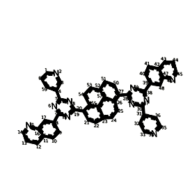 c1cncc(-c2nc(-c3ccc4cccnc4c3)nc(-c3ccc4ccc5c(-c6nc(-c7ccncc7)nc(-c7ccc8cccnc8c7)n6)ccc6ccc3c4c65)n2)c1